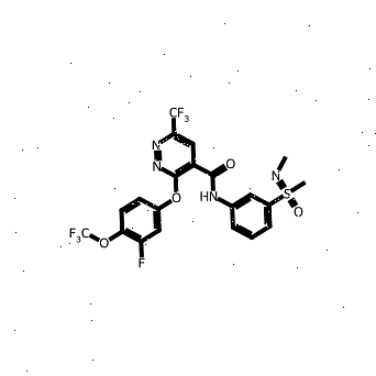 CN=S(C)(=O)c1cccc(NC(=O)c2cc(C(F)(F)F)nnc2Oc2ccc(OC(F)(F)F)c(F)c2)c1